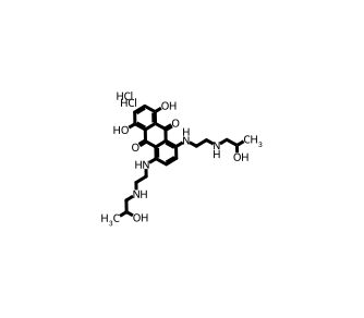 CC(O)CNCCNc1ccc(NCCNCC(C)O)c2c1C(=O)c1c(O)ccc(O)c1C2=O.Cl.Cl